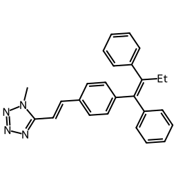 CC/C(=C(\c1ccccc1)c1ccc(/C=C/c2nnnn2C)cc1)c1ccccc1